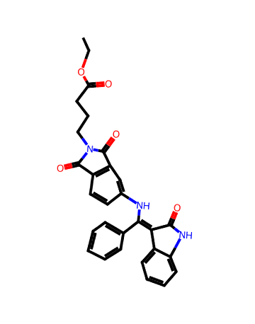 CCOC(=O)CCCN1C(=O)c2ccc(N/C(=C3\C(=O)Nc4ccccc43)c3ccccc3)cc2C1=O